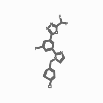 Fc1cc(-c2nnc(C(F)F)o2)cc(-c2nccn2Cc2ccc(Cl)cc2)c1